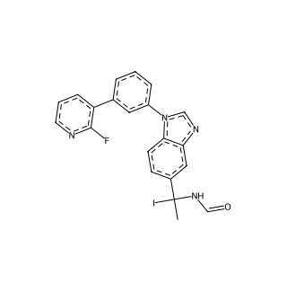 CC(I)(NC=O)c1ccc2c(c1)ncn2-c1cccc(-c2cccnc2F)c1